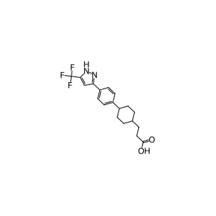 O=C(O)CCC1CCC(c2ccc(-c3cc(C(F)(F)F)[nH]n3)cc2)CC1